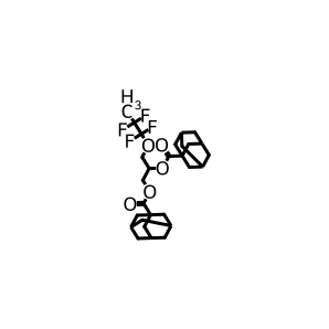 CC(F)(F)C(F)(F)OCC(COC(=O)C12CC3CC(CC(C3)C1)C2)OC(=O)C12CC3CC(CC(C3)C1)C2